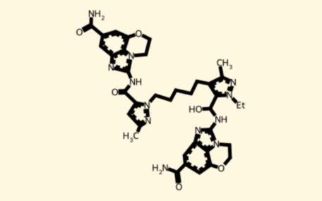 CCn1nc(C)c(CCCCCn2nc(C)cc2C(=O)Nc2nc3cc(C(N)=O)cc4c3n2CCO4)c1C(O)Nc1nc2cc(C(N)=O)cc3c2n1CCO3